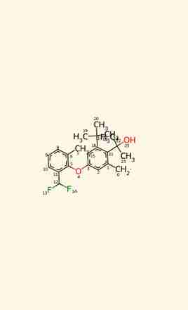 [CH2]c1cc(Oc2c(C)cccc2C(F)F)cc(C(C)(C)C)c1C(C)(C)O